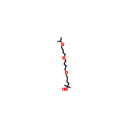 CC(C)OCCCCOCCCCOCCCCC(C)(C)O